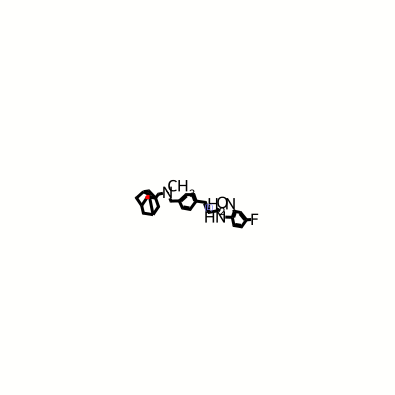 CN(Cc1ccc(/C=C/C(=O)Nc2ccc(F)cc2N)cc1)CC12CC3CC(CC(C3)C1)C2